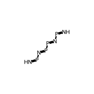 N=P/N=P/P=N/P=N